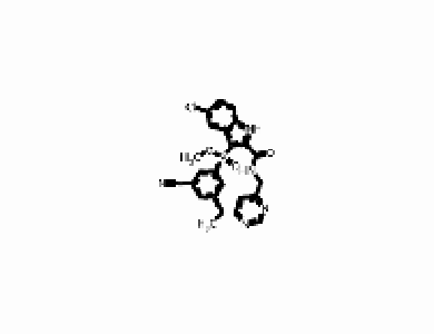 CCc1cc(C#N)cc(P(=O)(OC)c2c(C(=O)NCc3ccncn3)[nH]c3ccc(Cl)cc23)c1